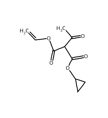 C=COC(=O)C(C(C)=O)C(=O)OC1CC1